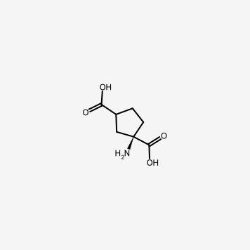 N[C@]1(C(=O)O)CCC(C(=O)O)C1